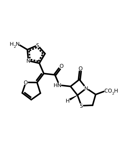 Nc1nc(C(C(=O)NC2C(=O)N3C(C(=O)O)CS[C@H]23)=C2CC=CO2)cs1